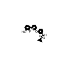 O=S(=O)(Nc1cccc(Oc2cccc(-c3cccc(O)c3F)n2)c1)C1CC1